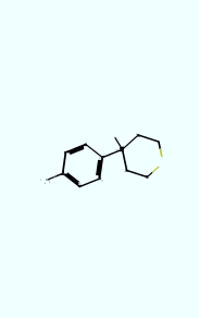 CC1(c2ccc([N+](=O)[O-])cc2)CCSCC1